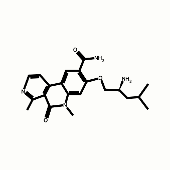 Cc1nccc2c1c(=O)n(C)c1cc(OC[C@@H](N)CC(C)C)c(C(N)=O)cc21